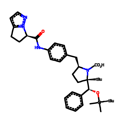 CC(C)(C)[C@@]1([C@H](O[Si](C)(C)C(C)(C)C)c2ccccc2)CC[C@@H](Cc2ccc(NC(=O)[C@H]3CCc4ccnn43)cc2)N1C(=O)O